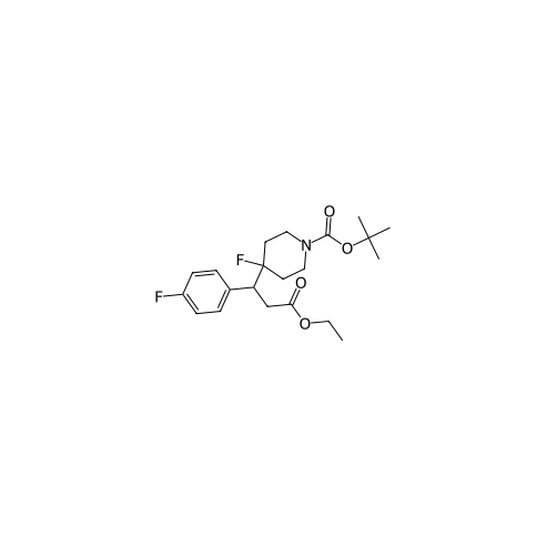 CCOC(=O)CC(c1ccc(F)cc1)C1(F)CCN(C(=O)OC(C)(C)C)CC1